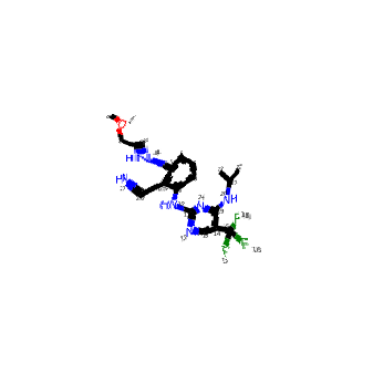 COCCNc1cccc(Nc2ncc(C(F)(F)F)c(NC(C)C)n2)c1C=N